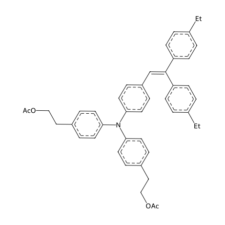 CCc1ccc(C(=Cc2ccc(N(c3ccc(CCOC(C)=O)cc3)c3ccc(CCOC(C)=O)cc3)cc2)c2ccc(CC)cc2)cc1